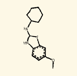 COc1ccc2c(c1)SC(NC1CCCCC1)N2